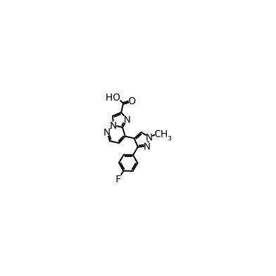 Cn1cc(-c2ccnn3cc(C(=O)O)nc23)c(-c2ccc(F)cc2)n1